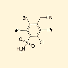 CC(C)c1c(Cl)c(S(N)(=O)=O)c(C(C)C)c(Br)c1CC#N